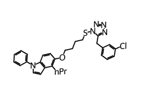 CCCc1c(OCCCCSn2nnnc2Cc2cccc(Cl)c2)ccc2c1ccn2-c1ccccc1